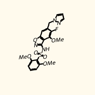 COc1cccc(OC)c1S(=O)(=O)Nc1noc2cc(Cn3cccn3)c(F)c(OC)c12